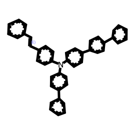 C(=C\c1ccc(N(c2ccc(-c3ccccc3)cc2)c2ccc(-c3ccc(-c4ccccc4)cc3)cc2)cc1)/c1ccccc1